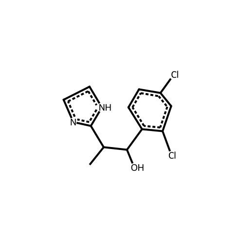 CC(c1ncc[nH]1)C(O)c1ccc(Cl)cc1Cl